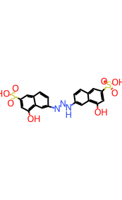 O=S(=O)(O)c1cc(O)c2cc(/N=N/Nc3ccc4cc(S(=O)(=O)O)cc(O)c4c3)ccc2c1